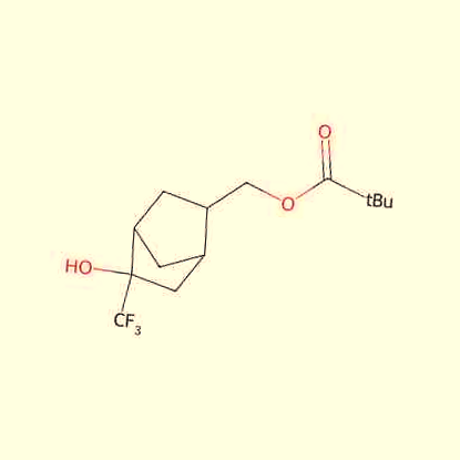 CC(C)(C)C(=O)OCC1CC2CC1CC2(O)C(F)(F)F